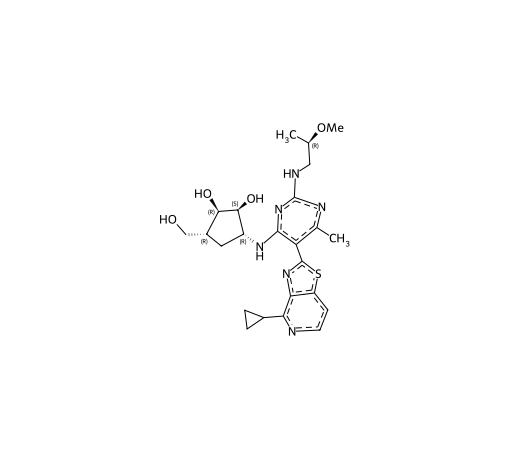 CO[C@H](C)CNc1nc(C)c(-c2nc3c(C4CC4)nccc3s2)c(N[C@@H]2C[C@H](CO)[C@@H](O)[C@H]2O)n1